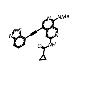 CNc1ncc(C#Cc2cccc3ncsc23)c2cc(NC(=O)C3CC3)ncc12